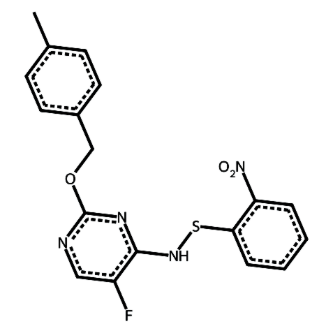 Cc1ccc(COc2ncc(F)c(NSc3ccccc3[N+](=O)[O-])n2)cc1